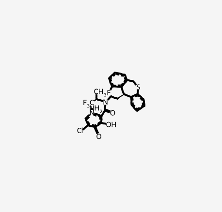 C[C@@H](N(CC[C@@H]1c2ccccc2SCc2cccc(F)c21)C(=O)c1c(O)c(=O)c(Cl)cn1N)C(F)(F)F